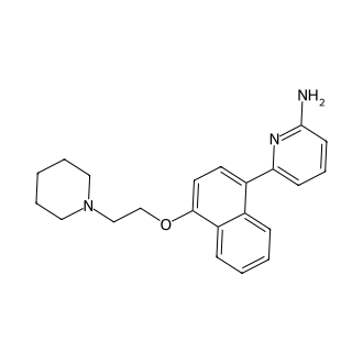 Nc1cccc(-c2ccc(OCCN3CCCCC3)c3ccccc23)n1